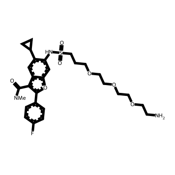 CNC(=O)c1c(-c2ccc(F)cc2)oc2cc(NS(=O)(=O)CCCOCCOCCOCCN)c(C3CC3)cc12